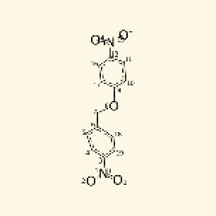 O=[N+]([O-])c1ccc(COc2ccc([N+](=O)[O-])cc2)cc1